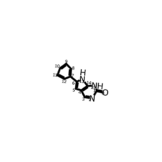 O=c1ncc2cc(-c3ccccc3)[nH]c2[nH]1